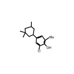 CC1CC(c2cc(Cl)c(O)c(C(C)(C)C)c2)CC(C)(C)C1